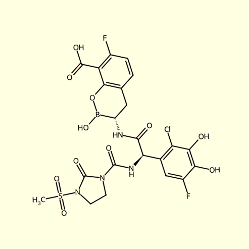 CS(=O)(=O)N1CCN(C(=O)N[C@@H](C(=O)N[C@H]2Cc3ccc(F)c(C(=O)O)c3OB2O)c2cc(F)c(O)c(O)c2Cl)C1=O